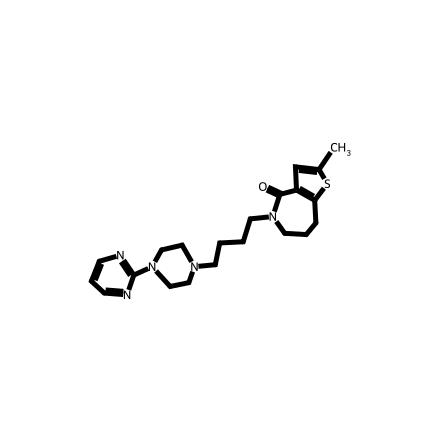 Cc1cc2c(s1)CCCN(CCCCN1CCN(c3ncccn3)CC1)C2=O